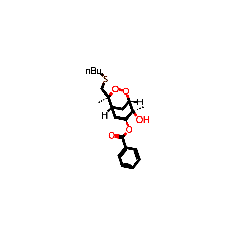 CCCCSC[C@@]1(C)OO[C@H]2C[C@@H]1C[C@H](OC(=O)c1ccccc1)[C@]2(C)O